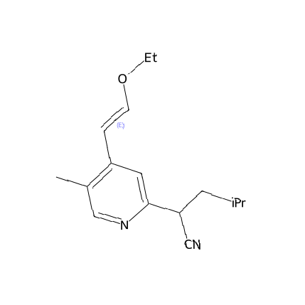 CCO/C=C/c1cc(C(C#N)CC(C)C)ncc1C